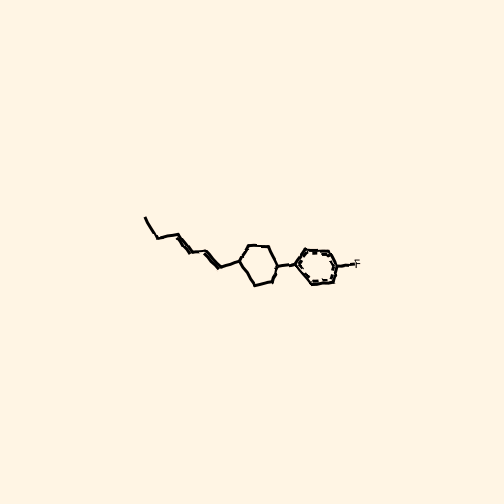 CC/C=C/C=C/C1CCC(c2ccc(F)cc2)CC1